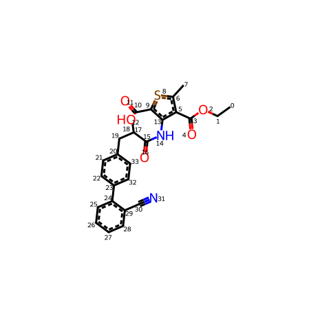 CCOC(=O)c1c(C)sc(C(=O)O)c1NC(=O)C(C)Cc1ccc(-c2ccccc2C#N)cc1